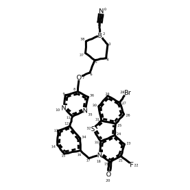 N#CB1CCC(COc2cnc(-c3cccc(Cn4c(=O)c(F)cc5c6cc(Br)ccc6sc54)c3)nc2)CC1